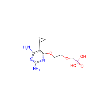 Nc1nc(N)c(C2CC2)c(OCCOCP(=O)(O)O)n1